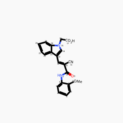 COc1ccccc1NC(=O)/C(C#N)=C/c1cn(CC(=O)O)c2ccccc12